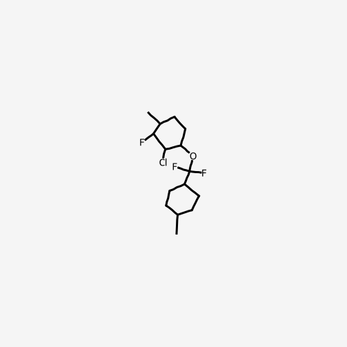 CC1CCC(C(F)(F)OC2CCC(C)C(F)C2Cl)CC1